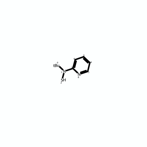 CC(C)(C)N(S)c1ccccn1